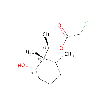 CC1CCC[C@H](O)[C@]1(C)[C@@H](C)OC(=O)CCl